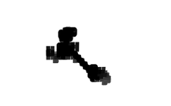 CC(C)(C)OC(=O)CCCCCCCCCCCCC(=O)NC(CCC(=O)ON1C(=O)CCC1=O)C(=O)OC(C)(C)C